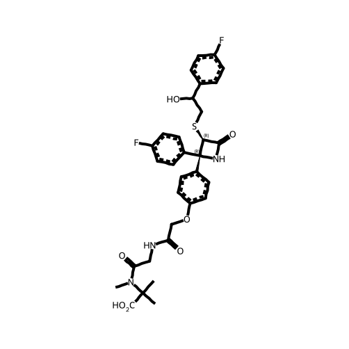 CN(C(=O)CNC(=O)COc1ccc([C@]2(c3ccc(F)cc3)NC(=O)[C@@H]2SCC(O)c2ccc(F)cc2)cc1)C(C)(C)C(=O)O